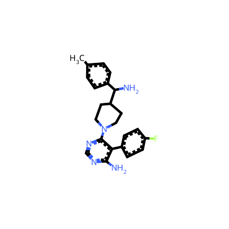 Cc1ccc(C(N)C2CCN(c3ncnc(N)c3-c3ccc(F)cc3)CC2)cc1